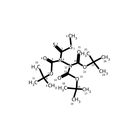 CSC(=S)N(C(=O)OC(C)(C)C)N(C(=O)OC(C)(C)C)C(=O)OC(C)(C)C